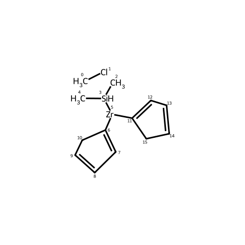 CCl.C[SiH](C)[Zr]([C]1=CC=CC1)[C]1=CC=CC1